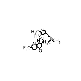 Cc1ncc(CCCN(C)C)cc1Nc1ncc2c(n1)C1=C(CC=C(C(F)(F)F)C=N1)C(=O)C2